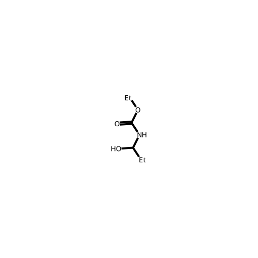 CCOC(=O)NC(O)CC